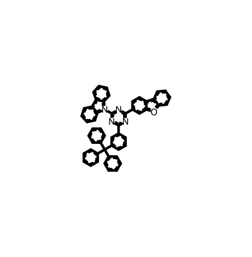 c1ccc(C(c2ccccc2)(c2ccccc2)c2cccc(-c3nc(-c4ccc5c(c4)oc4ccccc45)nc(-n4c5ccccc5c5ccccc54)n3)c2)cc1